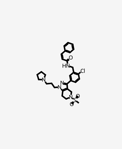 CS(=O)(=O)N1CCc2c(c(-c3ccc(Cl)c(CNC(=O)/C=C\c4ccccc4)c3)nn2CCCN2CCCC2)C1